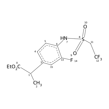 CCOC(=O)C(C)c1ccc(NS(=O)(=O)CC(F)(F)F)c(F)c1